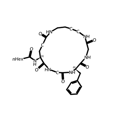 CCCCCCC(=O)N[C@H]1CCC(=O)NCCCCNC(=O)CNC(=O)[C@@H](Cc2ccccc2)NC(=O)CNC1=O